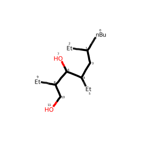 CCCCC(CC)CC(CC)C(O)C(CC)CO